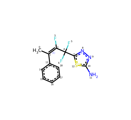 C/C(=C(\F)C(F)(F)c1nnc(N)s1)c1ccccc1